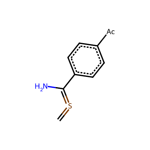 C=S=C(N)c1ccc(C(C)=O)cc1